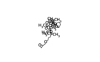 C[Si](C)(CCCOCC1CO1)O[Si](C)(C)O[Si](C)(C)O[Si](C)(C)O[Si](C)(C)C12CCC(CC1)C2